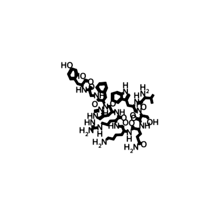 CC(C)C(N)C(=O)NC(Cc1c[nH]c2ccccc12)C(=O)NC(CO)C(=O)NC(CCC(N)=O)C(=O)NC(CCCCN)C(=O)NC(CCCNC(=N)N)C(=O)NC(Cc1c[nH]cn1)C(=O)NC(Cc1ccccc1)C(=O)NCC(=O)NC(Cc1ccc(O)cc1)C(=O)O